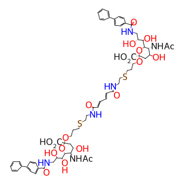 CC(=O)N[C@H]1[C@H]([C@H](O)[C@H](O)CNC(=O)c2ccc(-c3ccccc3)cc2)O[C@@](OCCCSCCNC(=O)/C=C/C=C/C(=O)NCCSCCCO[C@]2(C(=O)O)C[C@H](O)[C@@H](NC(C)=O)C([C@H](O)[C@H](O)CNC(=O)c3ccc(-c4ccccc4)cc3)O2)(C(=O)O)C[C@@H]1O